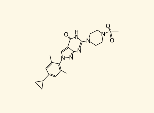 Cc1cc(C2CC2)cc(C)c1-n1cc2c(=O)[nH]c(N3CCN(S(C)(=O)=O)CC3)nc2n1